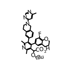 Cc1cc(N2CCc3cc(-c4c(C)nc(C)c(C(OC(C)(C)C)C(=O)O)c4-c4cc(F)c5c(c4)CCCO5)ccc3C2)ncn1